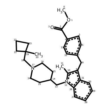 COC(=O)c1ccc(Cc2c(C)n(CC3CCN(CC4(C)CCC4)CC3)c3ccccc23)cc1